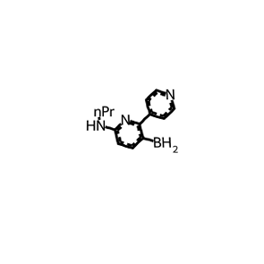 Bc1ccc(NCCC)nc1-c1ccncc1